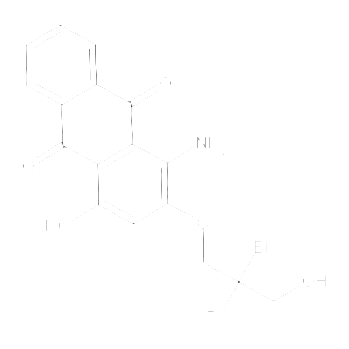 CCC(CC)(CO)COc1cc(O)c2c(c1N)C(=O)c1ccccc1C2=O